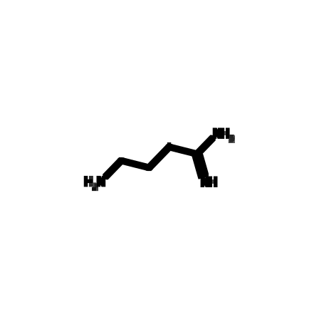 N=C(N)[CH]CCN